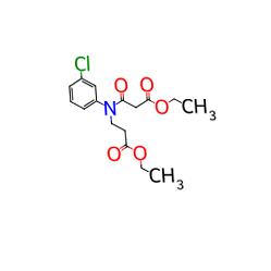 CCOC(=O)CCN(C(=O)CC(=O)OCC)c1cccc(Cl)c1